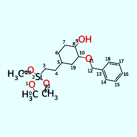 CO[Si](CCC1CCC(O)C(OCc2ccccc2)C1)(OC)OC